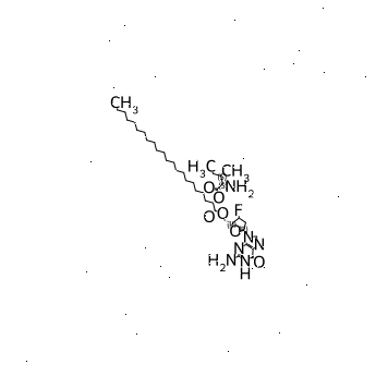 CCCCCCCCCCCCCCCCCCCCC(OC(=O)[C@@H](N)[C@@H](C)CC)C(=O)OC[C@H]1O[C@@H](n2cnc3c(=O)[nH]c(N)nc32)CC1F